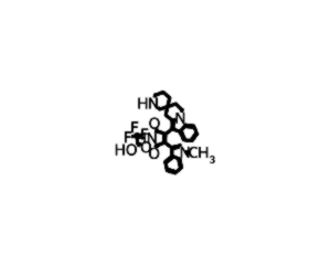 Cn1cc(C2=C(c3c4n(c5ccccc35)CCC3(CCCNC3)C4)C(=O)NC2=O)c2ccccc21.O=C(O)C(F)(F)F